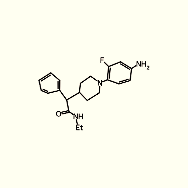 CCNC(=O)C(c1ccccc1)C1CCN(c2ccc(N)cc2F)CC1